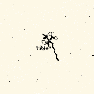 CCCCCCCC(C(=O)[O-])(C(=O)[O-])C(C)(C)C.[Na+].[Na+]